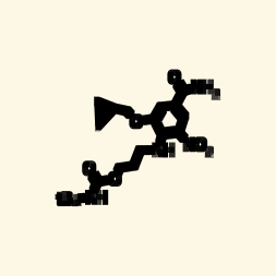 CC(C)(C)NC(=O)OCCCNc1c(OCC2CC2)cc(C(N)=O)cc1[N+](=O)[O-]